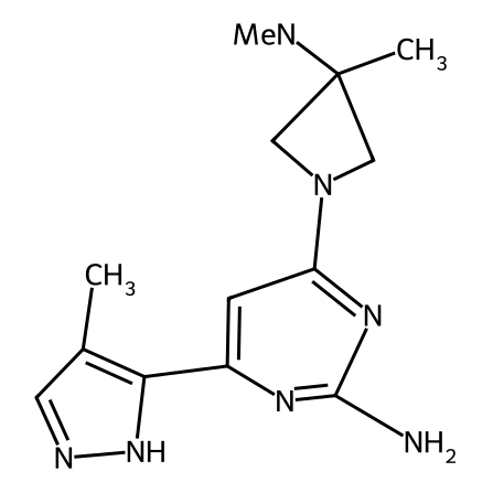 CNC1(C)CN(c2cc(-c3[nH]ncc3C)nc(N)n2)C1